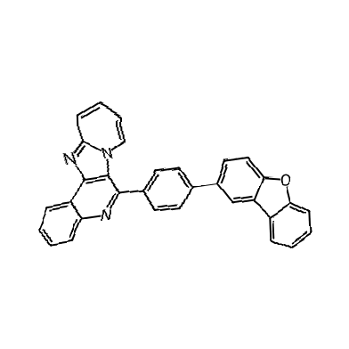 c1ccc2c(c1)nc(-c1ccc(-c3ccc4oc5ccccc5c4c3)cc1)c1c2nc2ccccn21